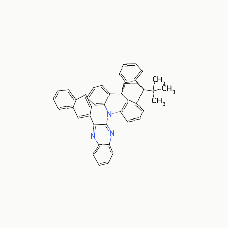 CC(C)(C)C12CCC3(c4ccccc4N(c4nc5ccccc5nc4-c4ccc5ccccc5c4)c4cccc1c43)c1ccccc12